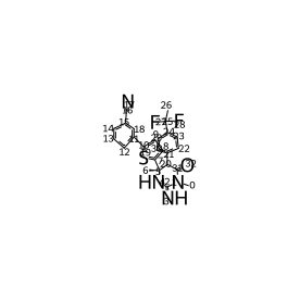 CN1C(=N)N[C@](C)(c2ccc(-c3cccc(C#N)c3)s2)C(c2ccc(C(C)(F)F)cc2)C1=O